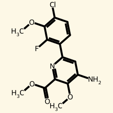 COC(=O)c1nc(-c2ccc(Cl)c(OC)c2F)cc(N)c1OC